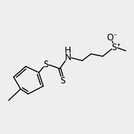 Cc1ccc(SC(=S)NCCC[S+](C)[O-])cc1